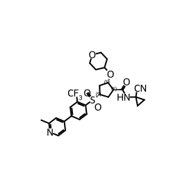 Cc1cc(-c2ccc(S(=O)(=O)[C@@H]3C[C@H](OC4CCOCC4)[C@@H](C(=O)NC4(C#N)CC4)C3)c(C(F)(F)F)c2)ccn1